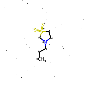 CCCN1CCS(=S)(=S)C1